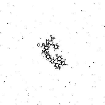 Cc1cc(-c2cc(N3CCN(c4ccc(NS(=O)(=O)c5ccc(N[C@H](CCN(C)C)CSc6ccccc6)c([N+](=O)[O-])c5)cc4)CC3)ccc2F)c(-c2ccc(F)cc2)n1C